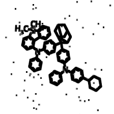 C[Si]1(C)c2ccccc2-c2c(N(c3ccccc3)c3ccc(C4(c5ccc(N(c6ccccc6)c6ccc(C7CCCCC7)cc6)cc5)C5CC6CC(C5)CC4C6)cc3)cccc21